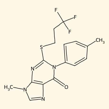 Cc1ccc(-n2c(SCCC(F)(F)F)nc3c(ncn3C)c2=O)cc1